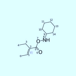 C/C=C(\CC)C(=O)ONC1CCCCC1